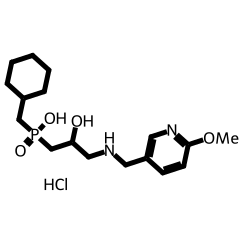 COc1ccc(CNCC(O)CP(=O)(O)CC2CCCCC2)cn1.Cl